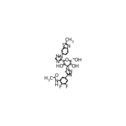 CC(=O)Nc1cc(-c2cn([C@H]3[C@@H](O)[C@@H](CO)O[C@@H](c4ncnn4-c4ccc5nc(C)sc5c4)[C@@H]3O)nn2)cc(F)c1F